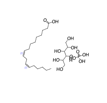 CCCCC/C=C\C/C=C\CCCCCCCC(=O)O.O=P(O)(O)O.OCC(O)C(O)C(O)C(O)CO